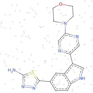 Nc1nnc(-c2ccc3[nH]cc(-c4cnc(N5CCOCC5)cn4)c3c2)s1